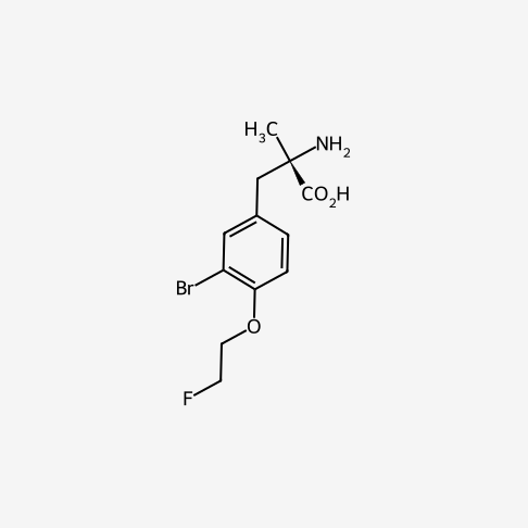 C[C@](N)(Cc1ccc(OCCF)c(Br)c1)C(=O)O